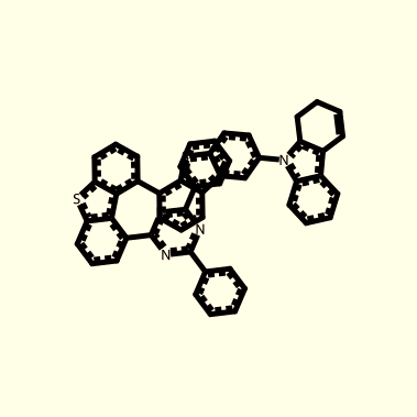 C1=Cc2c(n(-c3ccc4sc5c(-c6cccc7sc8cccc(-c9nc(-c%10ccccc%10)nc(-c%10ccccc%10)n9)c8c67)cccc5c4c3)c3ccccc23)CC1